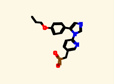 CCCOc1ccc(-c2cncn2-c2ccc(C[SH](=O)=O)cn2)cc1